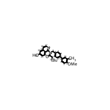 COc1ccc(-c2ccc(CN(C(=O)CC(C)(C)C)c3nccc4cc(O)ccc34)cc2)cc1C